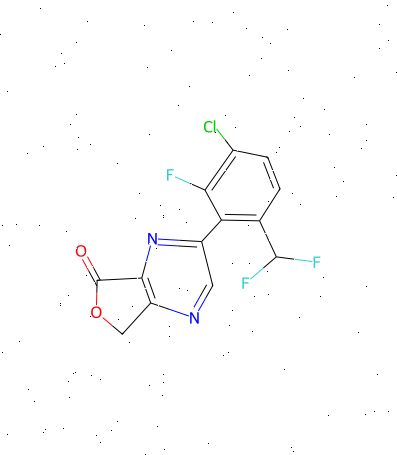 O=C1OCc2ncc(-c3c(C(F)F)ccc(Cl)c3F)nc21